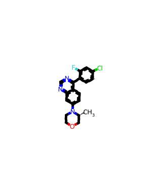 C[C@@H]1COCCN1c1ccc2c(-c3c[c]c(Cl)cc3F)ncnc2c1